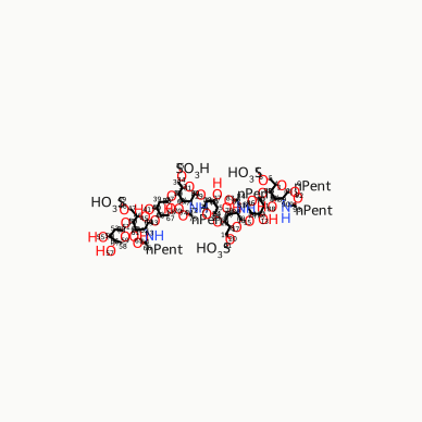 CCCCCO[C@@H]1OC(COS(=O)(=O)O)[C@@H](O[C@H]2C[C@H](O)[C@@H](O[C@@H]3OC(COS(=O)(=O)O)[C@@H](O[C@H]4C[C@H](O)[C@@H](O[C@@H]5OC(COS(=O)(=O)O)[C@@H](O[C@H]6C[C@H](O)[C@@H](O[C@@H]7OC(COS(=O)(=O)O)[C@@H](O[C@H]8C[C@H](O)[C@@H](O)CO8)[C@H](O)C7NC(=O)CCCCC)CO6)[C@H](O)C5NC(=O)CCCCC)CO4)[C@H](O)C3NC(=O)CCCCC)CO2)[C@H](O)C1NC(=O)CCCCC